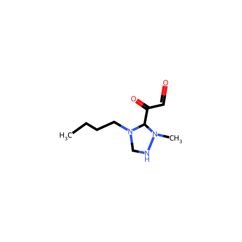 CCCCN1CNN(C)C1C(=O)C=O